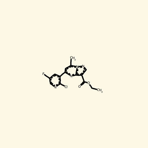 CCOC(=O)c1cnn2c(C)cc(-c3cc(F)cnc3Cl)nc12